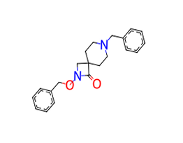 O=C1N(OCc2ccccc2)CC12CCN(Cc1ccccc1)CC2